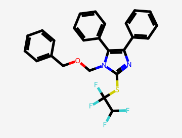 FC(F)C(F)(F)Sc1nc(-c2ccccc2)c(-c2ccccc2)n1COCc1ccccc1